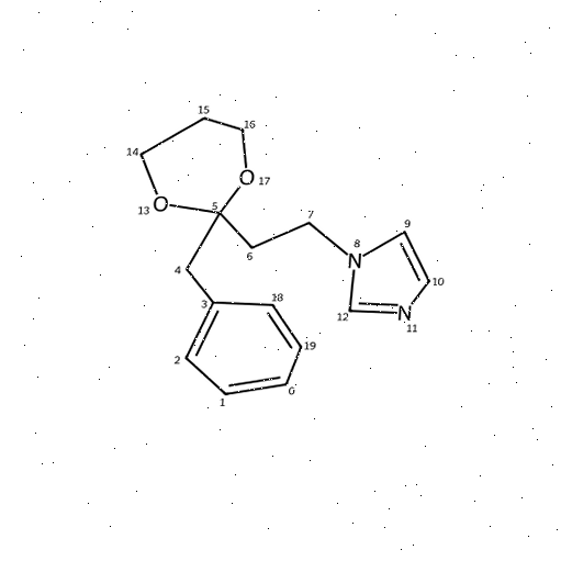 c1ccc(CC2(CCn3ccnc3)OCCCO2)cc1